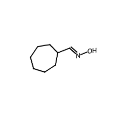 O/N=C/C1CCCCCC1